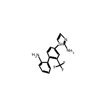 NC1=NC=C[SH]1c1ccc(-c2ccccc2N)c(C(F)(F)F)c1